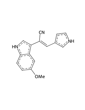 COc1ccc2[nH]cc(C(C#N)=Cc3cc[nH]c3)c2c1